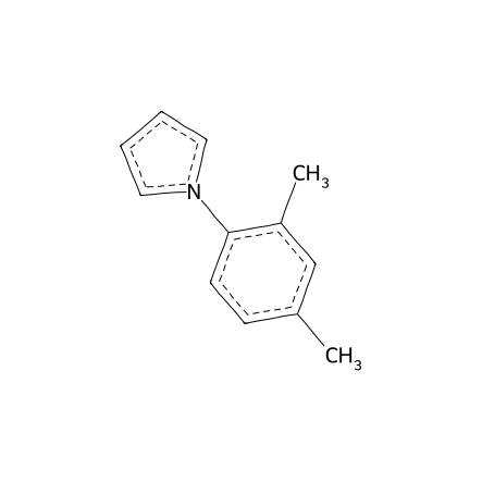 Cc1ccc(-n2cccc2)c(C)c1